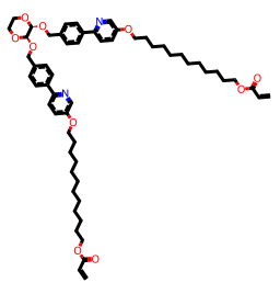 C=CC(=O)OCCCCCCCCCCCCOc1ccc(-c2ccc(CO[C@H]3OCCO[C@@H]3OCc3ccc(-c4ccc(OCCCCCCCCCCCCOC(=O)C=C)cn4)cc3)cc2)nc1